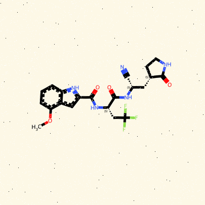 COc1cccc2[nH]c(C(=O)N[C@@H](CC(F)(F)F)C(=O)N[C@H](C#N)C[C@@H]3CCNC3=O)cc12